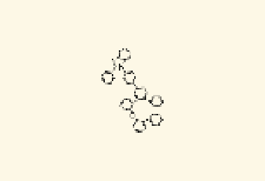 c1ccc(-c2nc3ccccc3n2-c2ccc(-c3ccc4c(c3)-c3ccccc3Oc3ccccc3-c3ccccc3-c3ccccc3-4)cc2)cc1